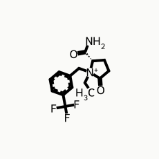 CC[N+]1(Cc2cccc(C(F)(F)F)c2)C(=O)CC[C@H]1C(N)=O